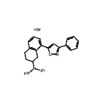 Br.CCCN(CCC)C1CCc2cccc(-c3cc(-c4ccccc4)no3)c2C1